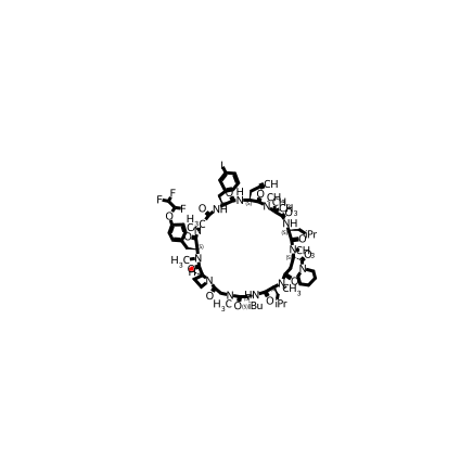 C#CC[C@@H]1NC(=O)[C@H](Cc2cccc(I)c2)NC(=O)CN(C)C(=O)[C@H](Cc2ccc(OC(F)C(F)F)cc2)N(C)C(=O)[C@@H]2CCN2C(=O)CN(C)C(=O)[C@H]([C@@H](C)CC)NC(=O)[C@H](CC(C)C)N(C)C(=O)C[C@@H](C(=O)N2CCCCC2)N(C)C(=O)[C@H](CC(C)C)NC(=O)C(C)(C)N(C)C1=O